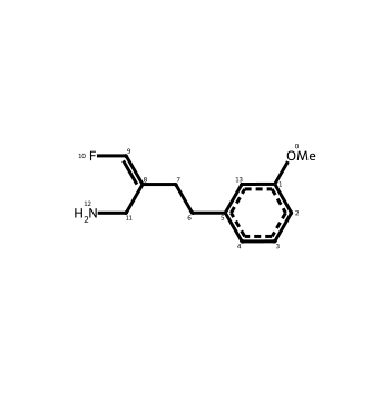 COc1cccc(CCC(=CF)CN)c1